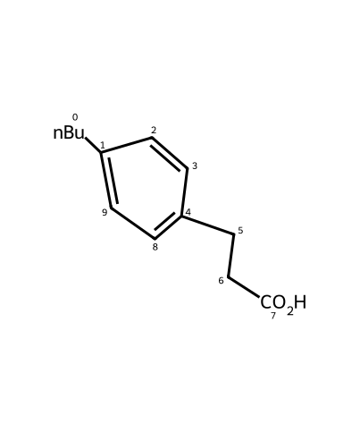 CCCCc1ccc(CCC(=O)O)cc1